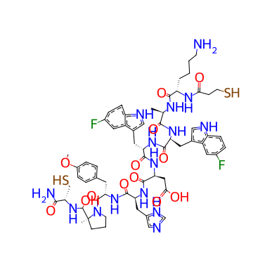 COc1ccc(C[C@H](NC(=O)[C@H](Cc2cnc[nH]2)NC(=O)[C@H](CC(=O)O)NC(=O)[C@H](Cc2c[nH]c3ccc(F)cc23)NC(=O)[C@H](Cc2c[nH]c3ccc(F)cc23)NC(=O)[C@@H](C)NC(=O)[C@H](CCCCN)NC(=O)CCS)C(=O)N2CCC[C@@]2(C)C(O)N[C@@H](CS)C(N)=O)cc1